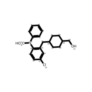 O=C(O)N(c1ccccc1)c1ccc(Cl)cc1CC1CCC(CO)CC1